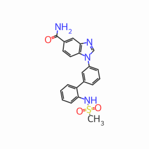 CS(=O)(=O)Nc1ccccc1-c1cccc(-n2cnc3cc(C(N)=O)ccc32)c1